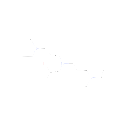 CCN(CC)CCCN(CCCN(CC)CC)CC(C)O